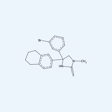 CN1CC(c2cccc(Br)c2)(c2ccc3c(c2)CCCC3)NC1=S